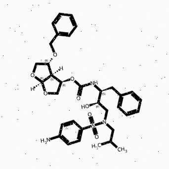 CC(C)CN(C[C@@H](O)[C@H](Cc1ccccc1)NC(=O)O[C@H]1CO[C@H]2OC[C@H](OCc3ccccc3)[C@H]21)S(=O)(=O)c1ccc(N)cc1